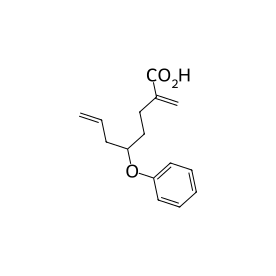 C=CCC(CCC(=C)C(=O)O)Oc1ccccc1